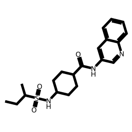 CCC(C)S(=O)(=O)NC1CCC(C(=O)Nc2cnc3ccccc3c2)CC1